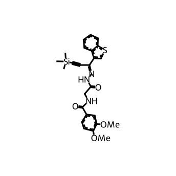 COc1ccc(C(=O)NCC(=O)N/N=C(\C#C[Si](C)(C)C)c2csc3ccccc23)cc1OC